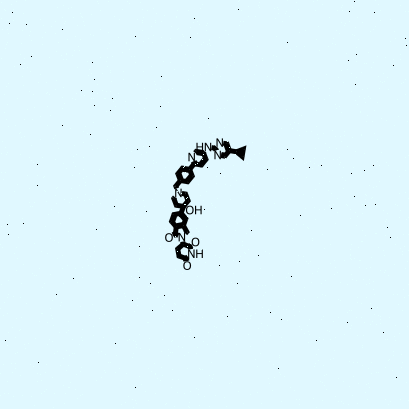 O=C1CCC(N2Cc3cc(C4(O)CCN(Cc5ccc(-c6ccc(Nc7ncc(C8CC8)cn7)cn6)cc5)CC4)ccc3C2=O)C(=O)N1